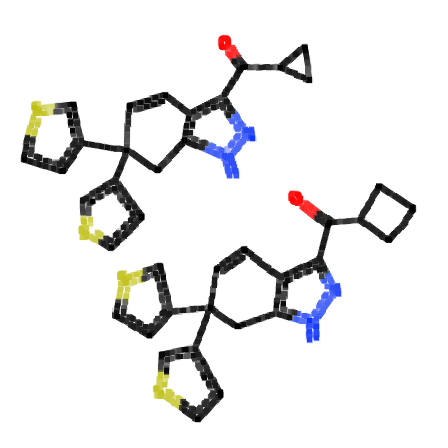 O=C(c1n[nH]c2c1C=CC(c1ccsc1)(c1ccsc1)C2)C1CC1.O=C(c1n[nH]c2c1C=CC(c1ccsc1)(c1ccsc1)C2)C1CCC1